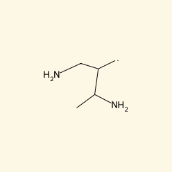 [CH2]C(CN)C(C)N